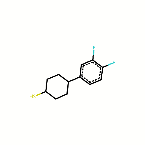 Fc1ccc(C2CCC(S)CC2)cc1F